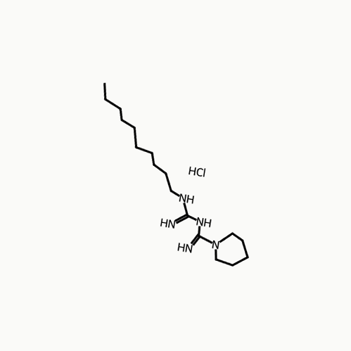 CCCCCCCCCCNC(=N)NC(=N)N1CCCCC1.Cl